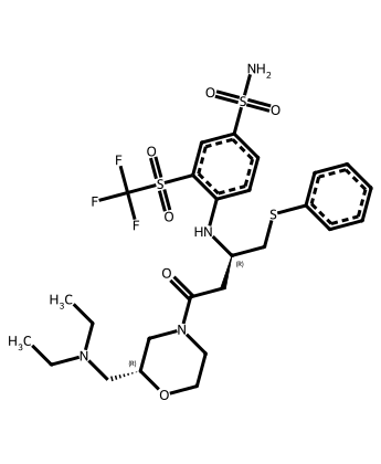 CCN(CC)C[C@@H]1CN(C(=O)C[C@H](CSc2ccccc2)Nc2ccc(S(N)(=O)=O)cc2S(=O)(=O)C(F)(F)F)CCO1